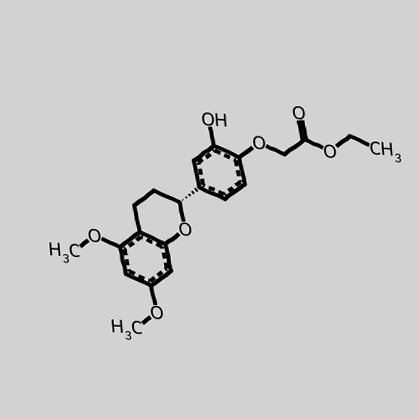 CCOC(=O)COc1ccc([C@H]2CCc3c(OC)cc(OC)cc3O2)cc1O